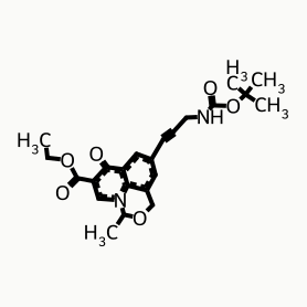 CCOC(=O)c1cn2c3c(cc(C#CCNC(=O)OC(C)(C)C)cc3c1=O)COC2C